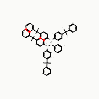 CC(C)(c1ccccc1)c1ccc(N(c2ccc(C(C)(C)c3ccccc3)cc2)P(c2ccccc2)N(c2ccc(C(C)(C)c3ccccc3)cc2)c2ccc(C(C)(C)c3ccccc3)cc2)cc1